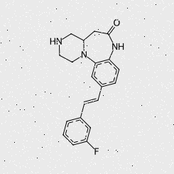 O=C1CC2CNCCN2c2cc(C=Cc3cccc(F)c3)ccc2N1